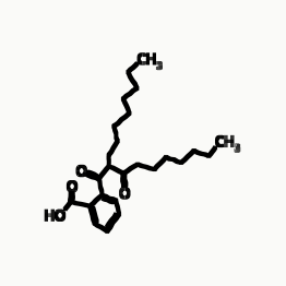 CCCCCCCCC(C(=O)CCCCCCC)C(=O)c1ccccc1C(=O)O